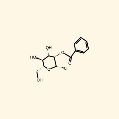 O=C(O[C@H]1[C@@H](O)[C@H](O)[C@@H](CO)O[C@H]1Cl)c1ccccc1